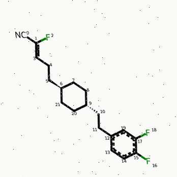 N#C/C(F)=C/CC[C@H]1CC[C@H](CCc2ccc(F)c(F)c2)CC1